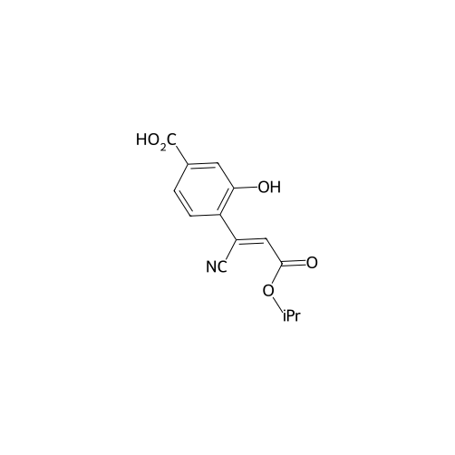 CC(C)OC(=O)C=C(C#N)c1ccc(C(=O)O)cc1O